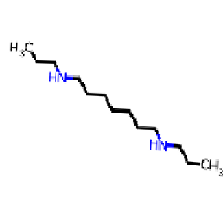 CCCNCCCCCCCNCCC